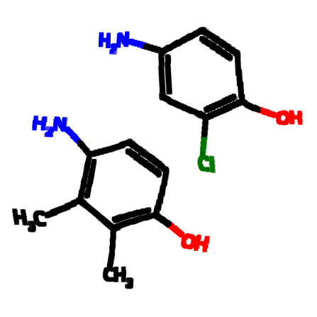 Cc1c(N)ccc(O)c1C.Nc1ccc(O)c(Cl)c1